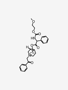 COCCOC(=O)NC(C(=O)O[C@H]1C[N+]2(CC(=O)c3ccccc3)CCC1CC2)c1ccccc1